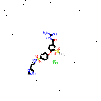 CS(=O)(=O)c1cc(C(=O)NC(=N)N)ccc1Oc1ccc(S(=O)(=O)NCCc2c[nH]cn2)cc1.Cl.Cl